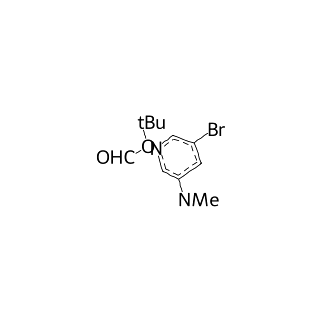 CC(C)(C)OC=O.CNc1cncc(Br)c1